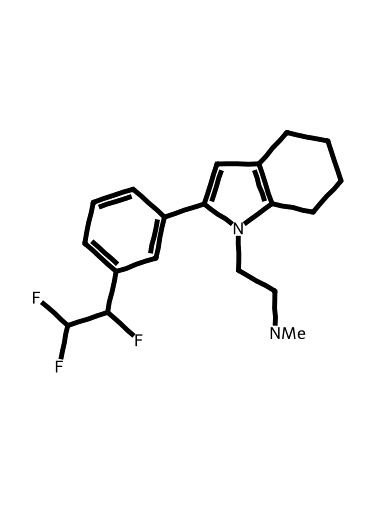 CNCCn1c(-c2cccc(C(F)C(F)F)c2)cc2c1CCCC2